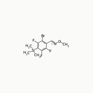 CO/N=C/c1c(F)c(F)c([Si](C)(C)C)c(F)c1Br